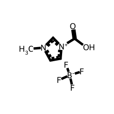 Cn1cc[n+](C(=O)O)c1.F[B-](F)(F)F